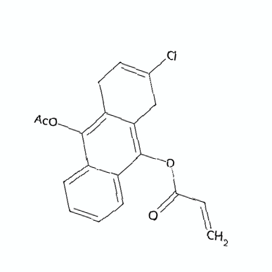 C=CC(=O)Oc1c2c(c(OC(C)=O)c3ccccc13)CC=C(Cl)C2